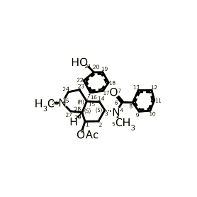 CC(=O)OC1C[C@@H](N(C)C(=O)c2ccccc2)C[C@]2(c3cccc(O)c3)CCN(C)C[C@@H]12